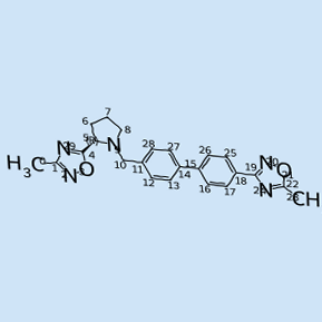 Cc1noc([C@H]2CCCN2Cc2ccc(-c3ccc(-c4noc(C)n4)cc3)cc2)n1